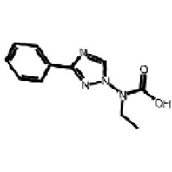 CCN(C(=O)O)n1cnc(-c2ccccc2)n1